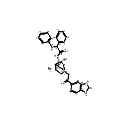 O=C(C[N+]12CCC(CC1)[C@@H](OC(=O)C(Nc1ccccc1)c1ccccc1)C2)c1ccc2c(c1)OCO2.[Br-]